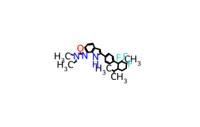 CCN(CC)c1nc2c(ccc3cc(-c4ccc(C5C(C(C)C)CCC(C)(F)C5(F)F)cc4)[nH]c32)o1